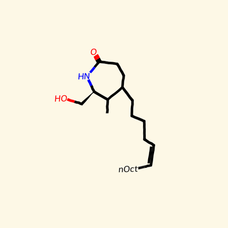 CCCCCCCC/C=C\CCCCC1CCC(=O)N[C@H](CO)C1C